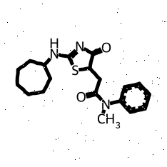 CN(C(=O)CC1SC(NC2CCCCCC2)=NC1=O)c1ccccc1